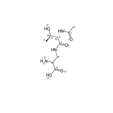 CC(=O)N[C@H](C(=O)NCC(N)C(=O)O)[C@@H](C)O